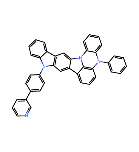 c1ccc(N2c3ccccc3-n3c4cc5c6ccccc6n(-c6ccc(-c7cccnc7)cc6)c5cc4c4cccc2c43)cc1